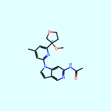 CO[C@]1(c2cc(C)cc(-n3ccc4cnc(NC(C)=O)cc43)n2)CCOC1